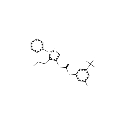 CCCc1c(OC(=O)Nc2cc(F)cc(C(F)(F)F)c2)cnn1-c1ccccc1